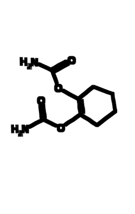 NC(=O)OC1=C(OC(N)=O)CCCC1